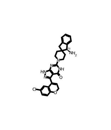 N[C@@H]1c2ccccc2CC12CCN(c1nc3[nH]nc(C4=CCOc5ccc(Cl)cc54)c3c(=O)[nH]1)CC2